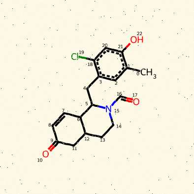 Cc1cc(CC2C3C=CC(=O)CC3CCN2C=O)c(Cl)cc1O